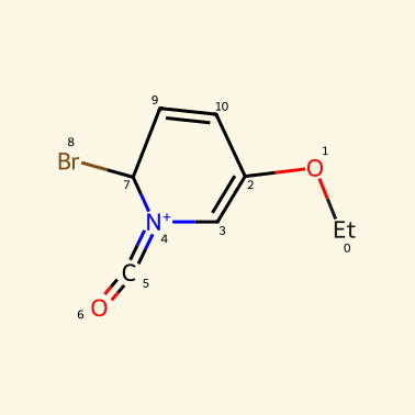 CCOC1=C[N+](=C=O)C(Br)C=C1